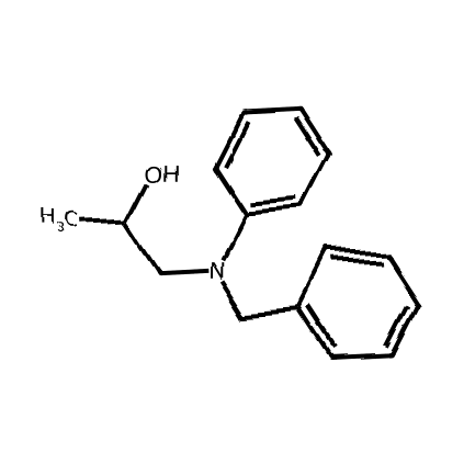 CC(O)CN(Cc1ccccc1)c1ccccc1